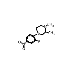 CC1CN(c2ccc([N+](=O)[O-])cc2F)CCN1C